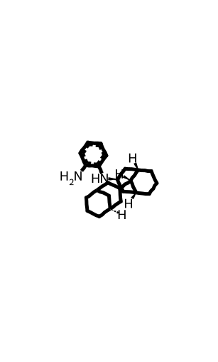 Nc1ccccc1N[C@@H]1C[C@H]2CCC[C@@H](C1)[C@H]2C1CC2CCC[C@@H](C2)C1